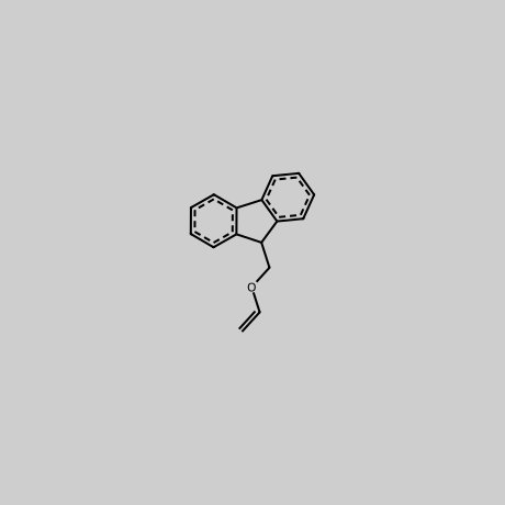 C=COCC1c2ccccc2-c2ccccc21